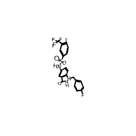 O=c1[nH]n(Cc2ccc(F)cc2)c2ccc(NS(=O)(=O)c3ccc(F)c(C(F)(F)F)c3)cc12